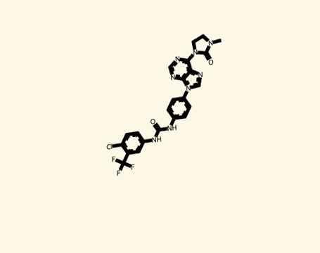 CN1CCN(c2ncnc3c2ncn3-c2ccc(NC(=O)Nc3ccc(Cl)c(C(F)(F)F)c3)cc2)C1=O